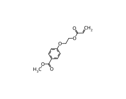 C=CC(=O)OCCOc1ccc(C(=O)OC)cc1